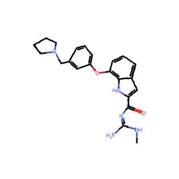 CNC(N)=NC(=O)c1cc2cccc(Oc3cccc(CN4CCCC4)c3)c2[nH]1